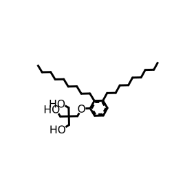 CCCCCCCCCc1cccc(OCC(CO)(CO)CO)c1CCCCCCCCC